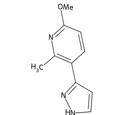 COc1ccc(-c2cc[nH]n2)c(C)n1